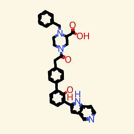 O=C(O)C1CN(C(=O)Cc2ccc(-c3cccc(-c4cc5cnccc5[nH]4)c3O)cc2)CCN1Cc1ccccc1